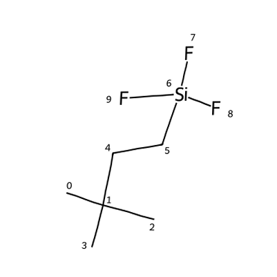 CC(C)(C)CC[Si](F)(F)F